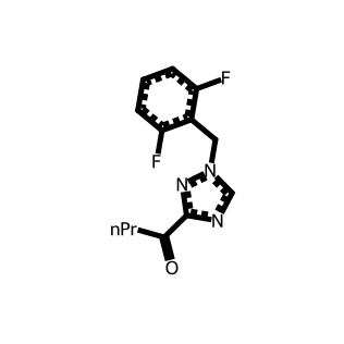 CCCC(=O)c1ncn(Cc2c(F)cccc2F)n1